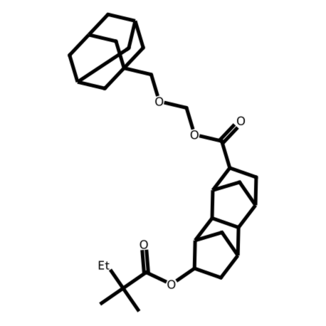 CCC(C)(C)C(=O)OC1CC2CC1C1C3CC(CC3C(=O)OCOCC34CC5CC(CC(C5)C3)C4)C21